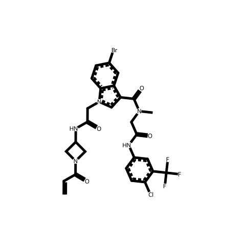 C=CC(=O)N1CC(NC(=O)Cn2cc(C(=O)N(C)CC(=O)Nc3ccc(Cl)c(C(F)(F)F)c3)c3cc(Br)ccc32)C1